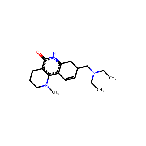 CCN(CC)CC1C=Cc2c([nH]c(=O)c3c2N(C)CCC3)C1